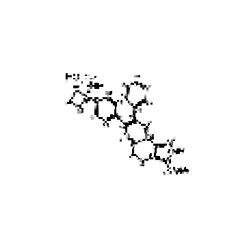 CSc1[nH]nc2c1CCc1nc(-c3ccc(C4(NC(=O)O)CCC4)cc3)c(-c3ccccc3)cc1-2